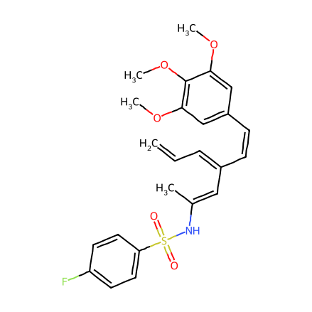 C=C/C=C(/C=C\c1cc(OC)c(OC)c(OC)c1)\C=C(/C)NS(=O)(=O)c1ccc(F)cc1